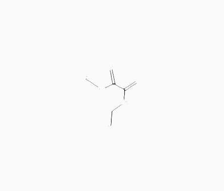 C=C(PCC)C(=O)OC